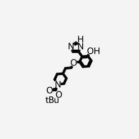 CC(C)(C)OC(=O)N1CCC(CCOc2cccc(O)c2-c2cnc[nH]2)CC1